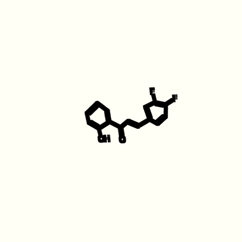 O=C(C=Cc1ccc(F)c(F)c1)c1ccccc1O